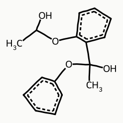 CC(O)Oc1ccccc1C(C)(O)Oc1ccccc1